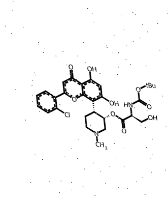 CN1CC[C@H](c2c(O)cc(O)c3c(=O)cc(-c4ccccc4Cl)oc23)[C@H](OC(=O)[C@H](CO)NC(=O)OC(C)(C)C)C1